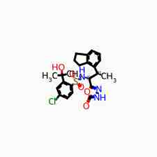 C[C@H](c1cccc2c1CCC2)[C@H](NS(=O)(=O)c1ccc(Cl)cc1C(C)(C)O)c1n[nH]c(=O)o1